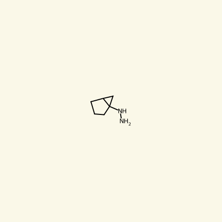 NNC12CCCC1C2